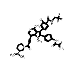 C=C(F)C(=O)Nc1ccc(-c2c(-c3ccc(C(=O)NCC(F)(F)F)c(Cl)c3)c3c(N)ncc(C#CC(=O)N4CCC[C@H](N(C)C)C4)c3n2C)cc1